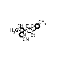 CC[C@@H]1CN(c2cc(=O)n(C)c3ccc(C#N)nc23)[C@@H](C)CN1Cc1ccc(C(F)(F)F)cc1C(F)(F)F